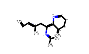 C=C/C=C(\C)C/C(N=C(C)C)=C1\N=CCCC1=C